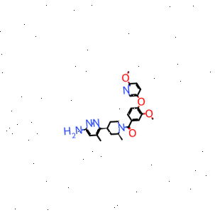 COc1ccc(Oc2ccc(C(=O)N3CC[C@H](c4nnc(N)cc4C)C[C@@H]3C)cc2OC)cn1